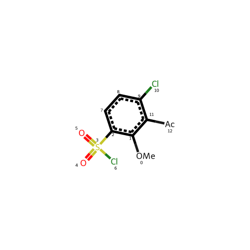 COc1c(S(=O)(=O)Cl)ccc(Cl)c1C(C)=O